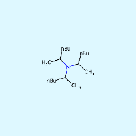 CCCCC(C)N(C(C)CCCC)C(C)CCCC